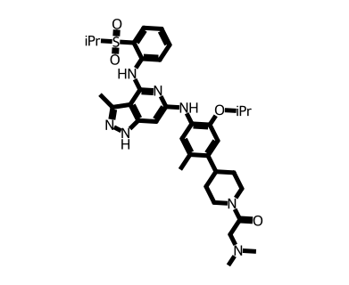 Cc1cc(Nc2cc3[nH]nc(C)c3c(Nc3ccccc3S(=O)(=O)C(C)C)n2)c(OC(C)C)cc1C1CCN(C(=O)CN(C)C)CC1